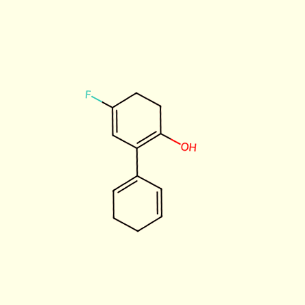 OC1=C(C2=CCCC=C2)C=C(F)CC1